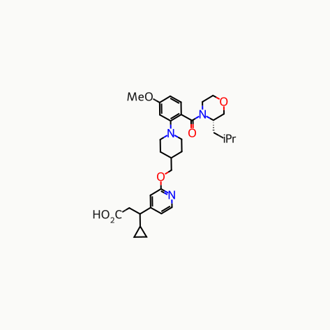 COc1ccc(C(=O)N2CCOC[C@@H]2CC(C)C)c(N2CCC(COc3cc(C(CC(=O)O)C4CC4)ccn3)CC2)c1